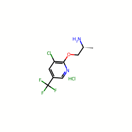 C[C@@H](N)COc1ncc(C(F)(F)F)cc1Cl.Cl